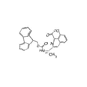 C[C@H](NC(=O)OCC1c2ccccc2-c2ccccc21)c1cc2cccc(Cl)c2c(C(=O)Cl)n1